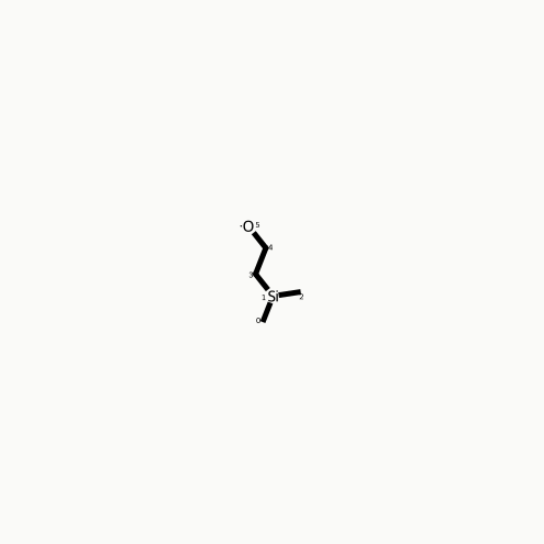 C[Si](C)CC[O]